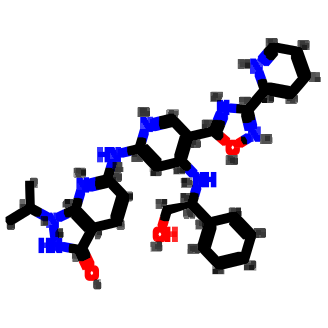 CC(C)n1[nH]c(=O)c2ccc(Nc3cc(N[C@H](CO)c4ccccc4)c(-c4nc(-c5ccccn5)no4)cn3)nc21